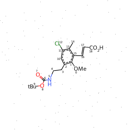 COc1c(CCNC(=O)OC(C)(C)C)cc(Cl)c(C)c1/C=C/C(=O)O